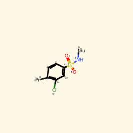 CC(C)c1ccc(S(=O)(=O)NC(C)(C)C)cc1Cl